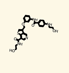 O=C(Nc1cccc(OCc2csc3c(C(=O)NCCO)cncc23)c1)c1ccc(NCCO)cc1